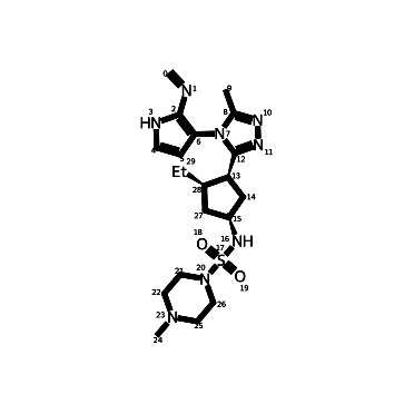 C=Nc1[nH]ccc1-n1c(C)nnc1[C@H]1C[C@@H](NS(=O)(=O)N2CCN(C)CC2)C[C@H]1CC